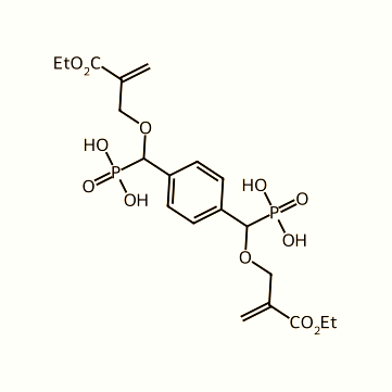 C=C(COC(c1ccc(C(OCC(=C)C(=O)OCC)P(=O)(O)O)cc1)P(=O)(O)O)C(=O)OCC